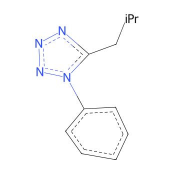 CC(C)Cc1nnnn1-c1ccccc1